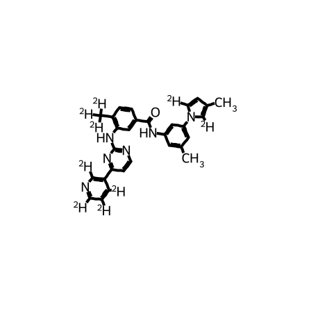 [2H]c1nc([2H])c(-c2ccnc(Nc3cc(C(=O)Nc4cc(C)cc(-n5c([2H])cc(C)c5[2H])c4)ccc3C([2H])([2H])[2H])n2)c([2H])c1[2H]